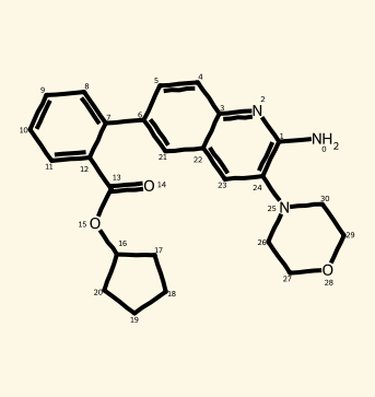 Nc1nc2ccc(-c3ccccc3C(=O)OC3CCCC3)cc2cc1N1CCOCC1